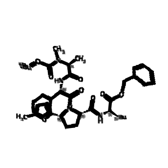 CC[C@H](C)[C@H](NC(=O)[C@@H]1CC[C@H](c2ccc(C)o2)N1C(=O)[C@@H](NC(=O)[C@H](C)N(C)C(=O)OC(C)(C)C)C1CCCCC1)C(=O)OCc1ccccc1